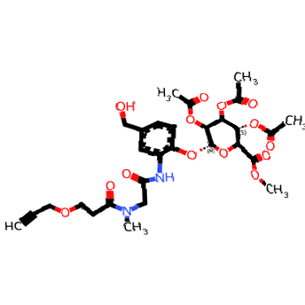 C#CCOCCC(=O)N(C)CC(=O)Nc1cc(CO)ccc1O[C@H]1OC(C(=O)OC)[C@@H](OC(C)=O)C(OC(C)=O)C1OC(C)=O